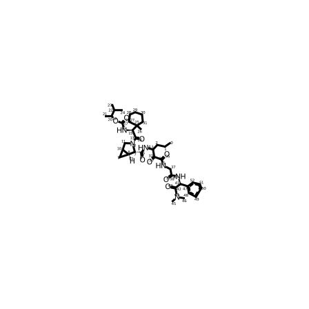 CCCC(NC(=O)[C@@H]1[C@H]2CC2CN1C(=O)[C@@H](NC(=O)OC(C)C(C)C)C1(C)CCCCC1)C(=O)C(=O)NCC(=O)N[C@H](C(=O)N(C)C)c1ccccc1